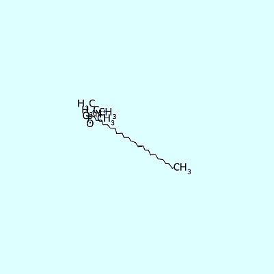 CCCCCCCCCCC=CCCCCCCCCCCCCC(CCC)(P(=O)=O)[N+](C)(C)C